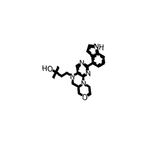 CC(C)(O)CCN1CC2COCCN2c2nc(-c3cccc4[nH]ccc34)ncc21